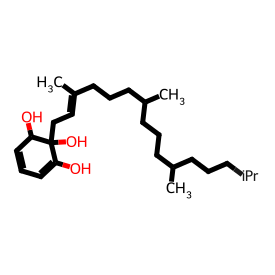 C/C(=C\CC1(O)C(O)=CC=CC1O)CCCC(C)CCCC(C)CCCC(C)C